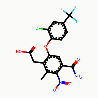 Cc1c(CC(=O)O)c(Oc2ccc(C(F)(F)F)cc2Cl)cc(C(N)=O)c1[N+](=O)[O-]